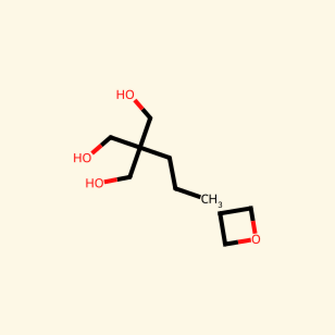 C1COC1.CCCC(CO)(CO)CO